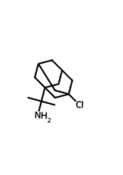 CC(C)(N)C12CC3CC(CC(Cl)(C3)C1)C2